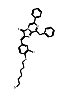 O=C1/C(=C/c2ccc(OCCCCCCBr)c(Cl)c2)N=C2C(Cc3ccccc3)=NC(c3ccccc3)=CN12